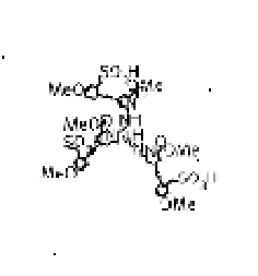 COC(=O)c1cc(C#Cc2ccc(OC)cc2CCS(=O)(=O)O)cc(CNCCN(CCNCc2cc(C#Cc3ccc(OC)cc3CCS(=O)(=O)O)cc(C(=O)OC)n2)Cc2cc(C#Cc3ccc(OC)cc3CCS(=O)(=O)O)cc(C(=O)OC)n2)n1